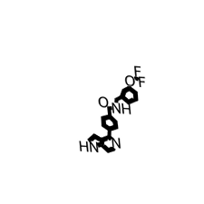 O=C(NCc1cccc(OC(F)F)c1)c1ccc(-c2nccc3[nH]ccc23)cc1